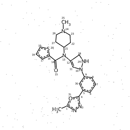 Cc1nnc(-c2cccc(N3C=C(N(C(=O)c4cccs4)C4CCN(C)CC4)CN3)c2)o1